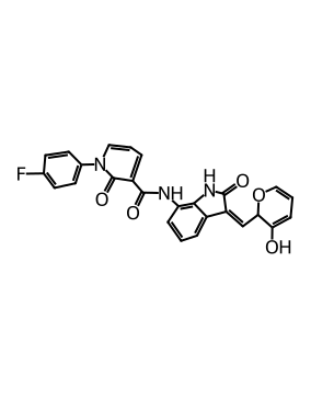 O=C1Nc2c(NC(=O)c3cccn(-c4ccc(F)cc4)c3=O)cccc2/C1=C/C1OC=CC=C1O